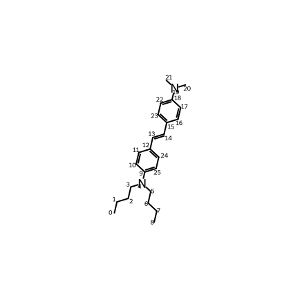 CCCCN(CCCC)c1ccc(/C=C/c2ccc(N(C)C)cc2)cc1